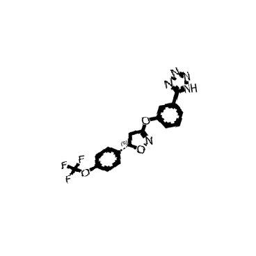 FC(F)(F)Oc1ccc([C@@H]2CC(Oc3cccc(-c4nnn[nH]4)c3)=NO2)cc1